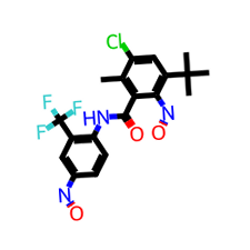 Cc1c(Cl)cc(C(C)(C)C)c(N=O)c1C(=O)Nc1ccc(N=O)cc1C(F)(F)F